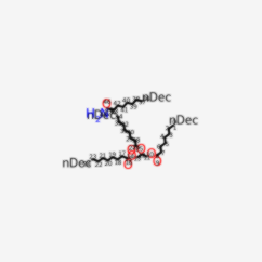 CCCCCCCCCCCCCCCCCC(=O)OCC(COC(=O)CCCCCCCCCCCCCCCCC)OC(=O)CCCCCCCCCCCCCCCCC.CCCCCCCCCCCCCCCCCC(N)=O